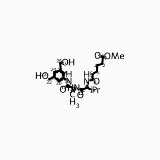 COC(=O)CCCCC(=O)NC(C(=O)N[C@@H](C)C(=O)Nc1cc(CO)cc(CO)c1)C(C)C